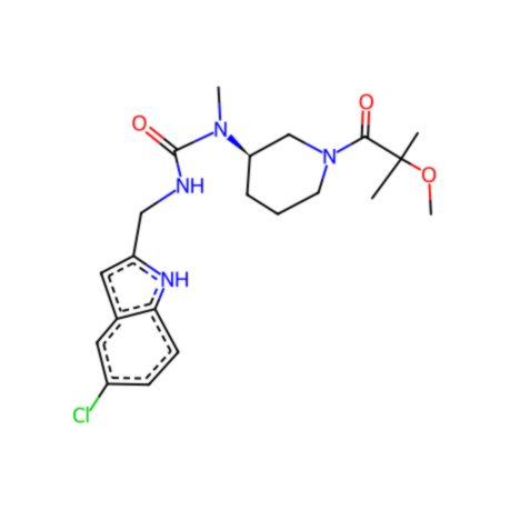 COC(C)(C)C(=O)N1CCC[C@@H](N(C)C(=O)NCc2cc3cc(Cl)ccc3[nH]2)C1